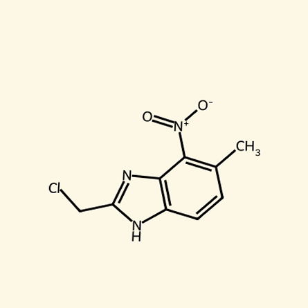 Cc1ccc2[nH]c(CCl)nc2c1[N+](=O)[O-]